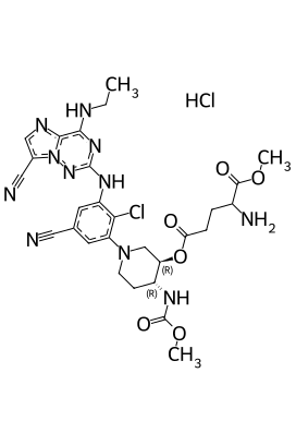 CCNc1nc(Nc2cc(C#N)cc(N3CC[C@@H](NC(=O)OC)[C@H](OC(=O)CCC(N)C(=O)OC)C3)c2Cl)nn2c(C#N)cnc12.Cl